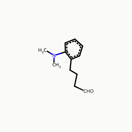 CN(C)c1ccccc1CCCC=O